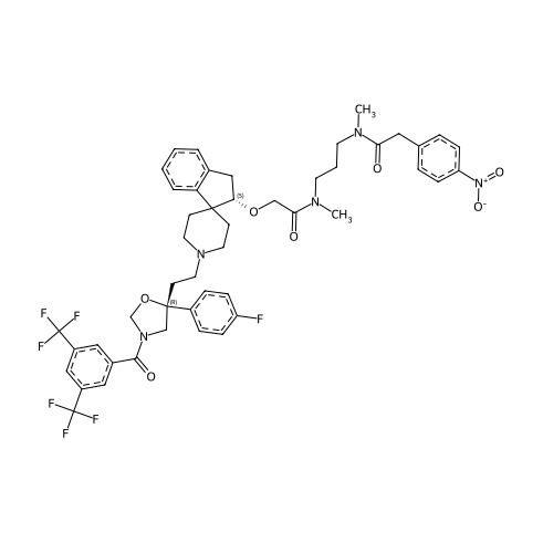 CN(CCCN(C)C(=O)Cc1ccc([N+](=O)[O-])cc1)C(=O)CO[C@H]1Cc2ccccc2C12CCN(CC[C@@]1(c3ccc(F)cc3)CN(C(=O)c3cc(C(F)(F)F)cc(C(F)(F)F)c3)CO1)CC2